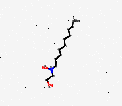 CCCCCCCCCCCCCCCCCCN(O)CCO